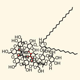 CCCCCCCCCCCCC/C=C/[C@@H](O)[C@H](CO[C@@H]1OC(CO)[C@@H](O[C@@H]2OC(CO)[C@H](O)[C@H](O[C@@H]3OC(CO)[C@@H](O[C@@H]4OC(CO)[C@H](O)[C@H](O[C@@H]5OC(CO)[C@@H](O[C@@H]6OC(CO)[C@H](O)[C@H](O[C@H]7OC(CO)[C@H](O)[C@H](O[C@@H]8OC(CO)[C@H](O)[C@H](O)C8O)C7NC(C)=O)C6O[C@H]6OC(C)[C@@H](O)C(O)[C@@H]6O)[C@H](O)C5NC(C)=O)C4O)[C@H](O)C3NC(C)=O)C2O)[C@H](O)C1O)NC(=O)CCCCCCCCCCCCCCCCCCC